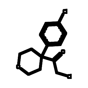 O=C(CCl)C1(c2ccc(Cl)cc2)CCOCC1